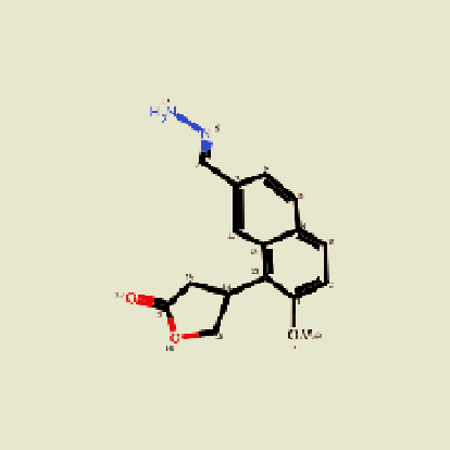 COc1ccc2ccc(C=NN)cc2c1C1COC(=O)C1